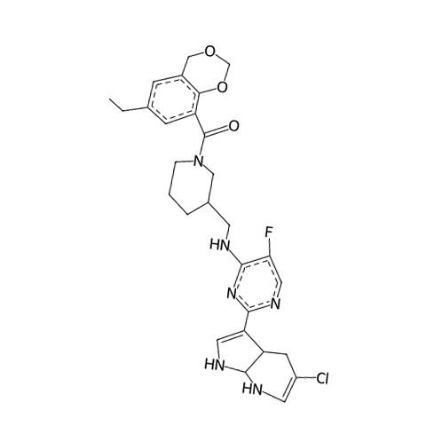 CCc1cc2c(c(C(=O)N3CCCC(CNc4nc(C5=CNC6NC=C(Cl)CC56)ncc4F)C3)c1)OCOC2